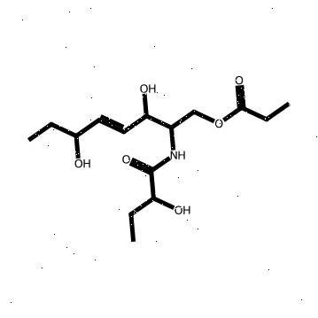 CCC(=O)OCC(NC(=O)C(O)CC)C(O)C=CC(O)CC